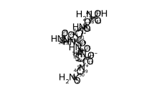 NC(=O)c1cc[n+](CC2=C(C(=O)[O-])N3C(=O)[C@@H](NC(=O)[C@H](NC(=O)N4CCNC4=O)c4ccc(NC(=O)OC[C@@H](N)C(=O)O)cc4)[C@@H]3SC2)cc1